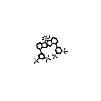 [CH2]=[Hf]([CH3])([CH3])([CH3])([CH2]C)([CH]1C=Cc2c(-c3cc([Si](C)(C)C)cc([Si](C)(C)C)c3)cccc21)[CH]1C=Cc2c(-c3cc([Si](C)(C)C)cc([Si](C)(C)C)c3)cccc21